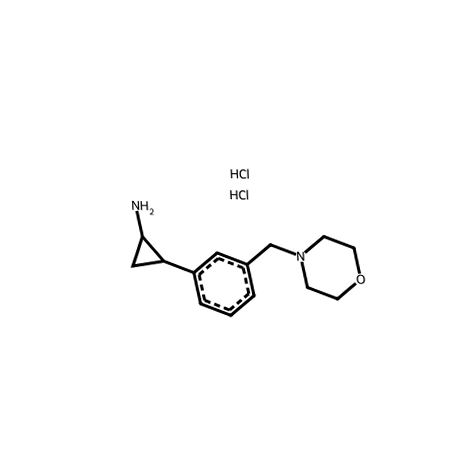 Cl.Cl.NC1CC1c1cccc(CN2CCOCC2)c1